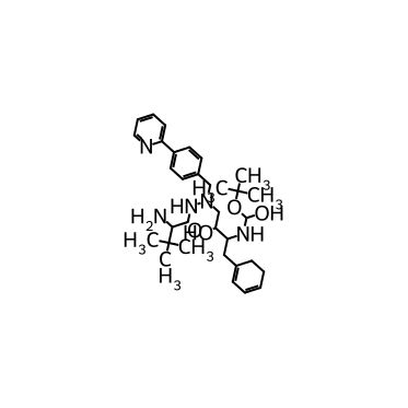 CC(C)(C)OC(O)NC(CC1=CC=CCC1)C(O)CN(Cc1ccc(-c2ccccn2)cc1)NC(=O)C(N)C(C)(C)C